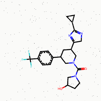 O=C(N1CCC(O)C1)N1CC(C2=NC(C3CC3)=NC2)CC(c2ccc(C(F)(F)F)cc2)C1